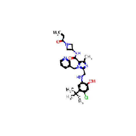 C=CC(=O)N1CC(NC(=O)c2c(C)nc(CNc3cc(C(C)(C)C)c(Cl)cc3O)n2Cc2cccnc2)C1